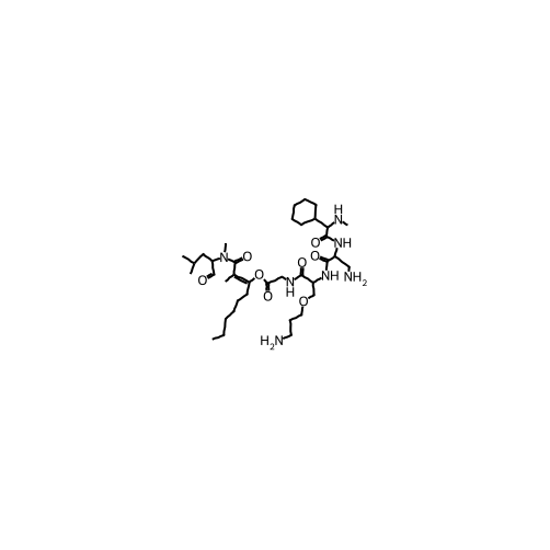 CCCCCC/C(OC(=O)CNC(=O)C(COCCCN)NC(=O)C(CN)NC(=O)C(NC)C1CCCCC1)=C(\C)C(=O)N(C)C(C=O)CC(C)C